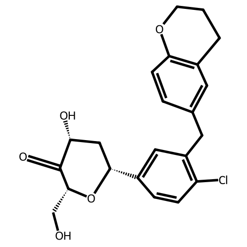 O=C1[C@H](O)C[C@H](c2ccc(Cl)c(Cc3ccc4c(c3)CCCO4)c2)O[C@@H]1CO